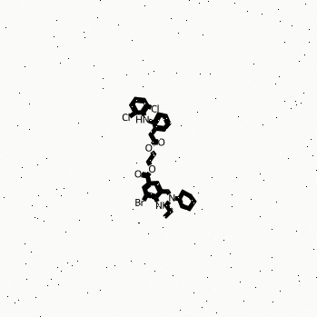 CCCN(Cc1cc(C(=O)OCCOC(=O)Cc2ccccc2Nc2c(Cl)cccc2Cl)cc(Br)c1N)C1CCCCC1